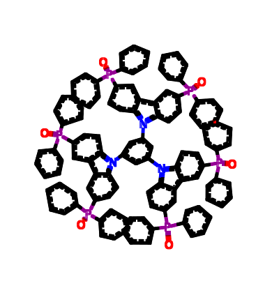 O=P(c1ccccc1)(c1ccccc1)c1ccc2c(c1)c1cc(P(=O)(c3ccccc3)c3ccccc3)ccc1n2-c1cc(-n2c3ccc(P(=O)(c4ccccc4)c4ccccc4)cc3c3cc(P(=O)(c4ccccc4)c4ccccc4)ccc32)cc(-n2c3ccc(P(=O)(c4ccccc4)c4ccccc4)cc3c3cc(P(=O)(c4ccccc4)c4ccccc4)ccc32)c1